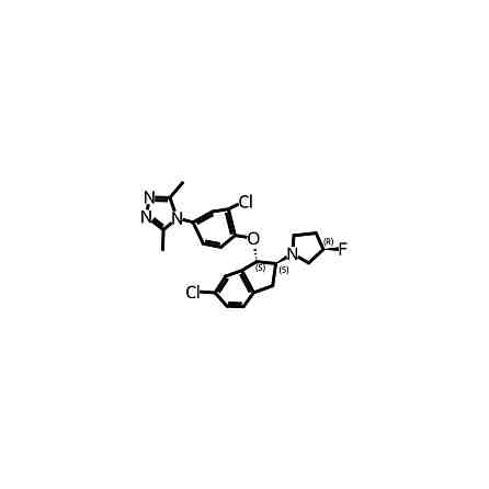 Cc1nnc(C)n1-c1ccc(O[C@H]2c3cc(Cl)ccc3C[C@@H]2N2CC[C@@H](F)C2)c(Cl)c1